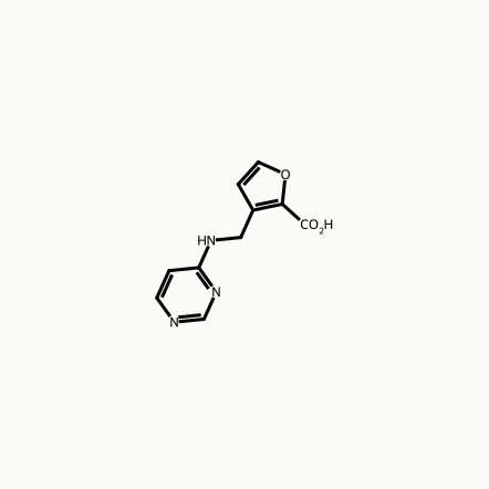 O=C(O)c1occc1CNc1ccncn1